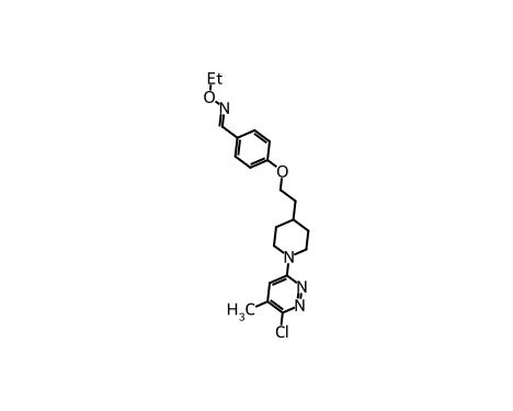 CCON=Cc1ccc(OCCC2CCN(c3cc(C)c(Cl)nn3)CC2)cc1